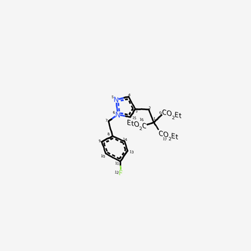 CCOC(=O)C(Cc1cnn(Cc2ccc(F)cc2)c1)(C(=O)OCC)C(=O)OCC